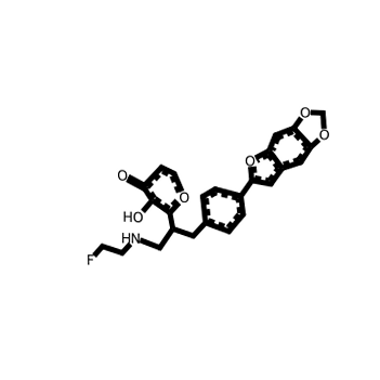 O=c1ccoc(C(CNCCF)Cc2ccc(-c3cc4cc5c(cc4o3)OCO5)cc2)c1O